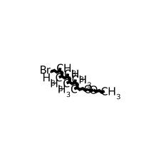 CCCCOCOCCCC(C)CC(C)CC(C)CC(C)CC(C)CC(C)CCCBr